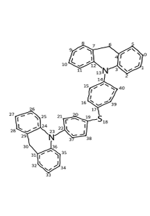 c1ccc2c(c1)Cc1ccccc1N2c1ccc(Sc2ccc(N3c4ccccc4Cc4ccccc43)cc2)cc1